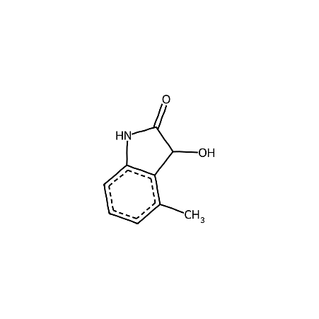 Cc1cccc2c1C(O)C(=O)N2